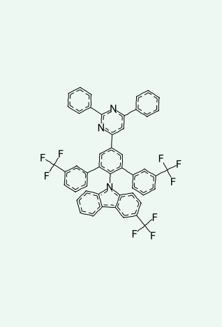 FC(F)(F)c1cccc(-c2cc(-c3cc(-c4ccccc4)nc(-c4ccccc4)n3)cc(-c3cccc(C(F)(F)F)c3)c2-n2c3ccccc3c3cc(C(F)(F)F)ccc32)c1